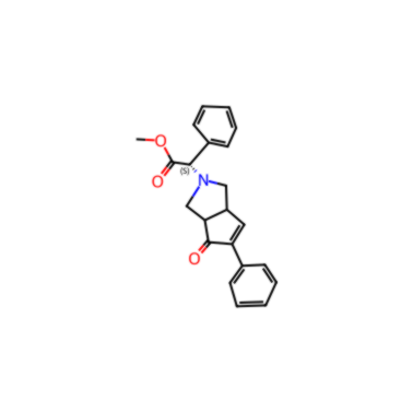 COC(=O)[C@H](c1ccccc1)N1CC2C=C(c3ccccc3)C(=O)C2C1